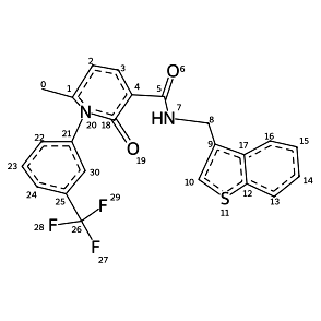 Cc1ccc(C(=O)NCc2csc3ccccc23)c(=O)n1-c1cccc(C(F)(F)F)c1